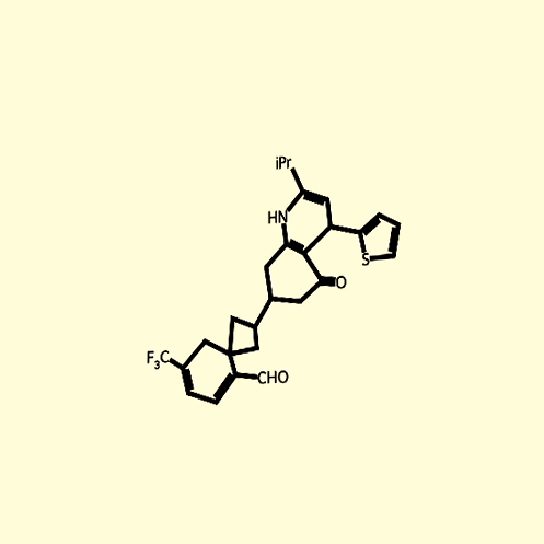 CC(C)C1=CC(c2cccs2)C2=C(CC(C3CC4(CC(C(F)(F)F)=CC=C4C=O)C3)CC2=O)N1